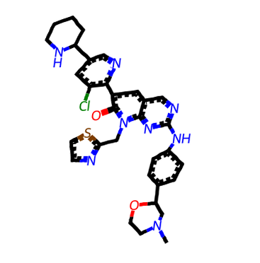 CN1CCOC(c2ccc(Nc3ncc4cc(-c5ncc(C6CCCCN6)cc5Cl)c(=O)n(Cc5nccs5)c4n3)cc2)C1